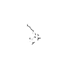 CC(C)S(=O)(=O)O.CC(C)S(=O)(=O)O.OCCCCO